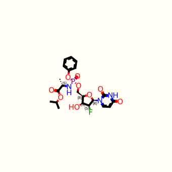 CC(C)OC(=O)[C@H](C)NP(=O)(OC[C@H]1O[C@@H](n2ccc(=O)[nH]c2=O)[C@@H](F)[C@H]1O)Oc1ccccc1